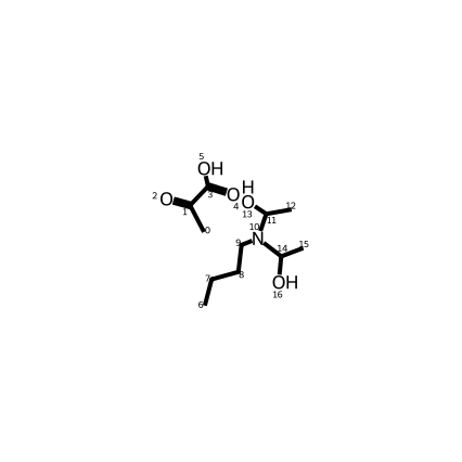 CC(=O)C(=O)O.CCCCN(C(C)O)C(C)O